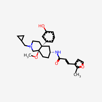 CO[C@]12CC[C@@H](NC(=O)/C=C/c3ccoc3C)C[C@]1(c1cccc(O)c1)CCN(CC1CC1)C2